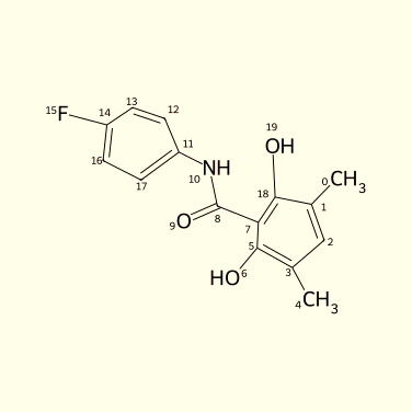 Cc1cc(C)c(O)c(C(=O)Nc2ccc(F)cc2)c1O